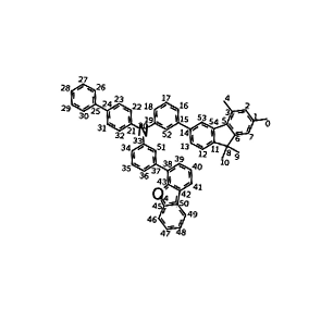 Cc1cc(C)c2c(c1)C(C)(C)c1ccc(-c3cccc(N(c4ccc(-c5ccccc5)cc4)c4cccc(-c5cccc6c5oc5ccccc56)c4)c3)cc1-2